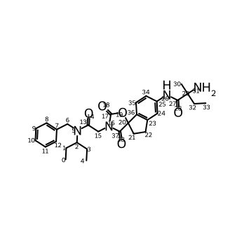 CCC(CC)N(Cc1ccccc1)C(=O)CN1C(=O)OC2(CCc3cc(NC(=O)C(C)(N)CC)ccc32)C1=O